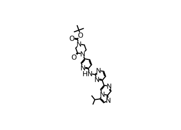 CC(C)c1cnc2cnc(-c3ccnc(Nc4ccc(N5CCN(C(=O)OC(C)(C)C)CC5=O)cn4)n3)cn12